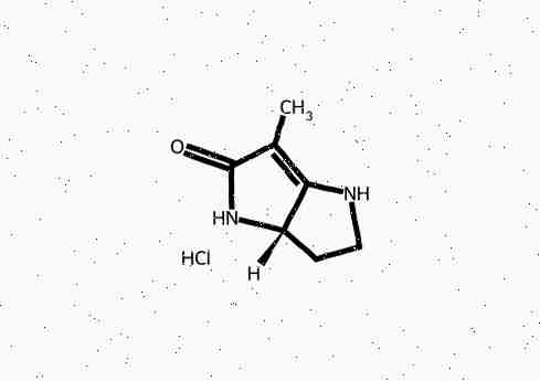 CC1=C2NCC[C@@H]2NC1=O.Cl